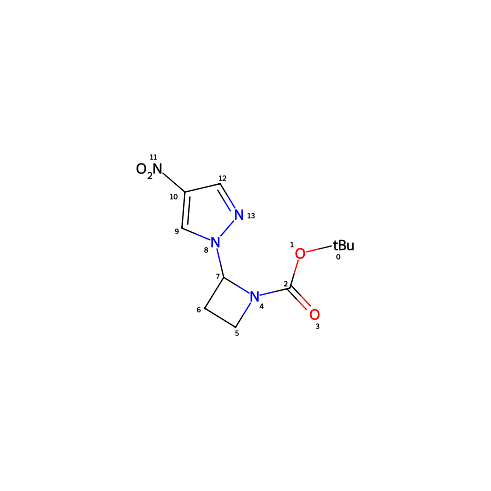 CC(C)(C)OC(=O)N1CCC1n1cc([N+](=O)[O-])cn1